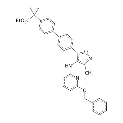 CCOC(=O)C1(c2ccc(-c3ccc(-c4onc(C)c4Nc4cccc(OCc5ccccc5)n4)cc3)cc2)CC1